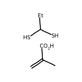 C=C(C)C(=O)O.CCC(S)S